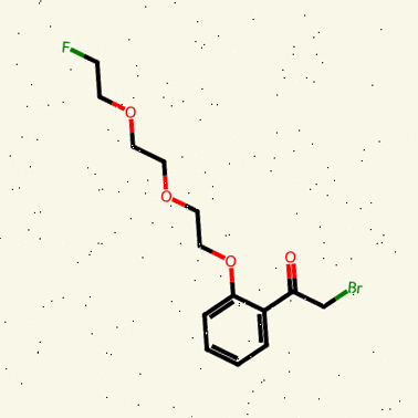 O=C(CBr)c1ccccc1OCCOCCOCCF